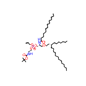 C=CCOP(=O)(OCCNC(=O)OC(C)(C)C)OC[C@@H](COCC[C@H](CCCCCCC)CCCCCCCCCCCCC)NC(=O)CCCCCCCCCCCCC